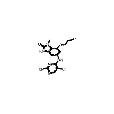 Cn1c(=O)[nH]c2cc(Nc3nc(Cl)ncc3Cl)cc(OCCCl)c21